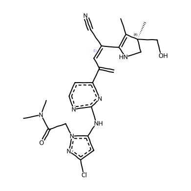 C=C(/C=C(/C#N)C1=C(C)[C@@](C)(CO)CN1)c1ccnc(Nc2cc(Cl)nn2CC(=O)N(C)C)n1